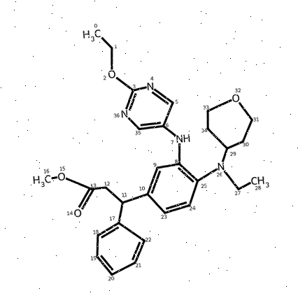 CCOc1ncc(Nc2cc(C(CC(=O)OC)c3ccccc3)ccc2N(CC)C2CCOCC2)cn1